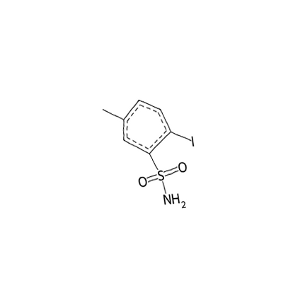 Cc1ccc(I)c(S(N)(=O)=O)c1